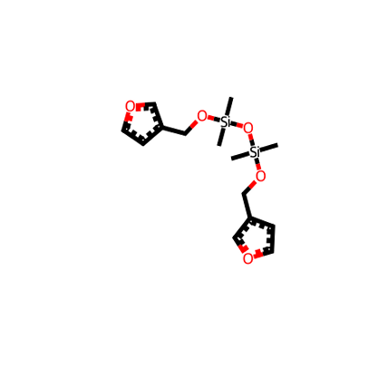 C[Si](C)(OCc1ccoc1)O[Si](C)(C)OCc1ccoc1